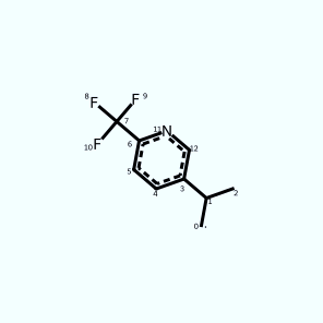 [CH2]C(C)c1ccc(C(F)(F)F)nc1